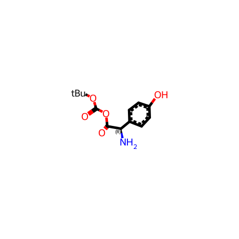 CC(C)(C)OC(=O)OC(=O)[C@H](N)c1ccc(O)cc1